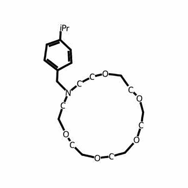 CC(C)c1ccc(CN2CCOCCOCCOCCOCCOCC2)cc1